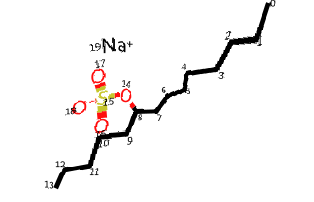 CCCCCCCCC(CCCCC)OS(=O)(=O)[O-].[Na+]